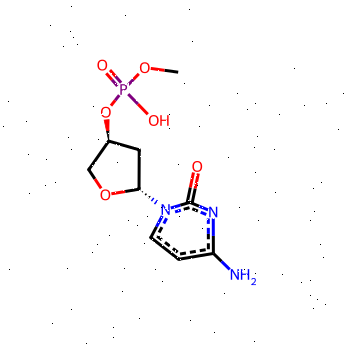 COP(=O)(O)O[C@@H]1CO[C@@H](n2ccc(N)nc2=O)C1